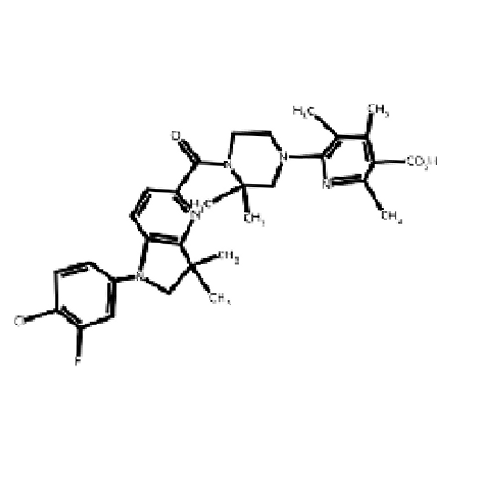 Cc1nc(N2CCN(C(=O)c3ccc4c(n3)C(C)(C)CN4c3ccc(Cl)c(F)c3)C(C)(C)C2)c(C)c(C)c1C(=O)O